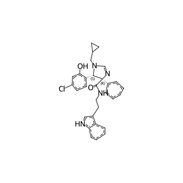 O=C(NCCc1c[nH]c2ccccc12)[C@]1(c2ccccc2)N=CN(CC2CC2)[C@H]1c1ccc(Cl)cc1O